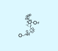 CC(C)c1nc(NCS(C)(=O)=O)nc(-c2ccc(F)cc2)c1C=CC1CC(CC(=O)NCCc2ccccc2)OC(C)(C)O1